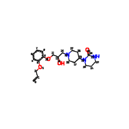 C=CCOc1ccccc1OCC(O)CN1CCC(N2CCCNC2=O)CC1